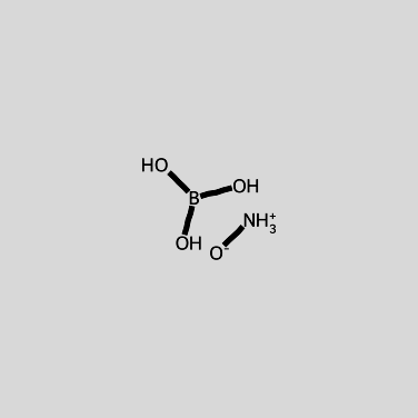 OB(O)O.[NH3+][O-]